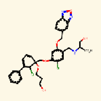 O=C(O)C(CO)NCc1cc(Cl)c(OCC2(OCCCO)C=CC=C(c3ccccc3)C2Cl)cc1OCc1ccc2nonc2c1